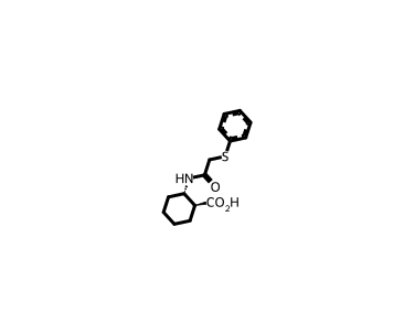 O=C(CSc1ccccc1)N[C@H]1CCCC[C@@H]1C(=O)O